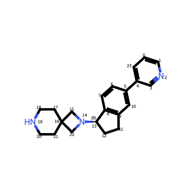 c1cncc(-c2ccc3c(c2)CC[C@H]3N2CC3(CCNCC3)C2)c1